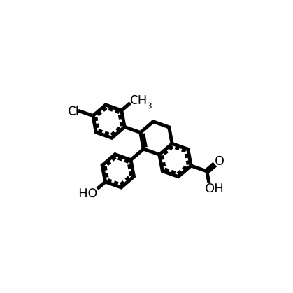 Cc1cc(Cl)ccc1C1=C(c2ccc(O)cc2)c2ccc(C(=O)O)cc2CC1